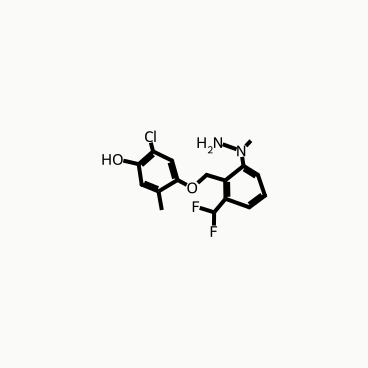 Cc1cc(O)c(Cl)cc1OCc1c(C(F)F)cccc1N(C)N